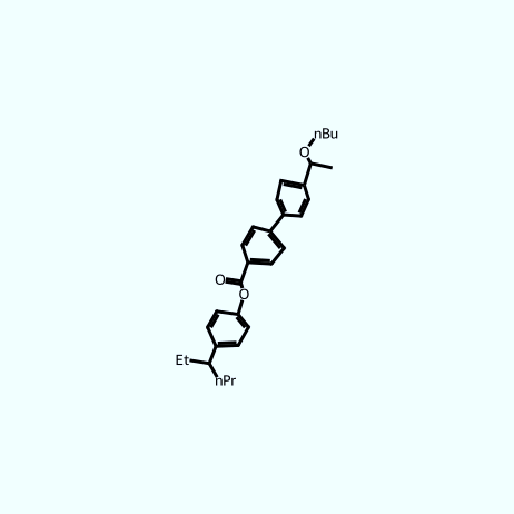 CCCCOC(C)c1ccc(-c2ccc(C(=O)Oc3ccc(C(CC)CCC)cc3)cc2)cc1